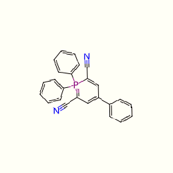 N#CC1=CC(c2ccccc2)=CC(C#N)=P1(c1ccccc1)c1ccccc1